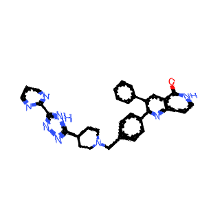 O=c1[nH]ccc2nc(-c3ccc(CN4CCC(c5nnc(-c6ncccn6)[nH]5)CC4)cc3)c(-c3ccccc3)cc12